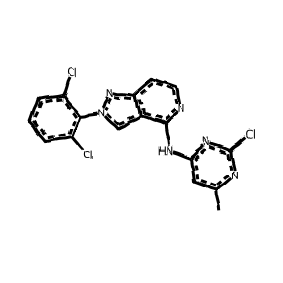 Cc1cc(Nc2nccc3nn(-c4c(Cl)cccc4Cl)cc23)nc(Cl)n1